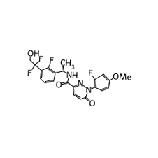 COc1ccc(-n2nc(C(=O)N[C@H](C)c3cccc(C(F)(F)CO)c3F)ccc2=O)c(F)c1